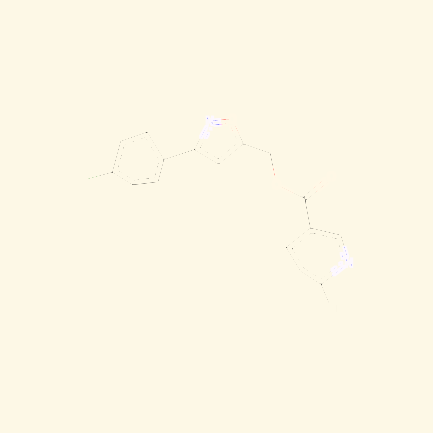 O=C(OCc1cc(-c2ccc(F)cc2)no1)c1ccc(C(F)(F)F)nc1